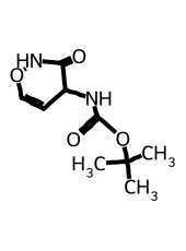 CC(C)(C)OC(=O)NC1C=CONC1=O